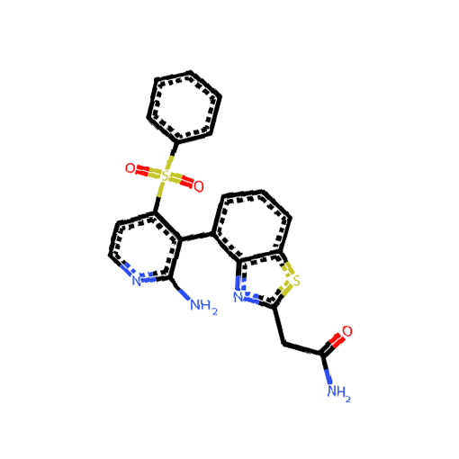 NC(=O)Cc1nc2c(-c3c(S(=O)(=O)c4ccccc4)ccnc3N)cccc2s1